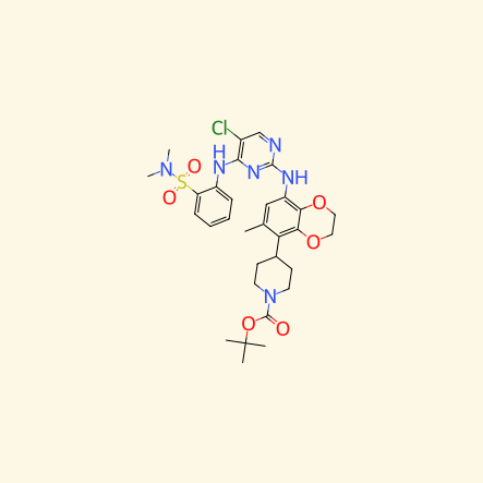 Cc1cc(Nc2ncc(Cl)c(Nc3ccccc3S(=O)(=O)N(C)C)n2)c2c(c1C1CCN(C(=O)OC(C)(C)C)CC1)OCCO2